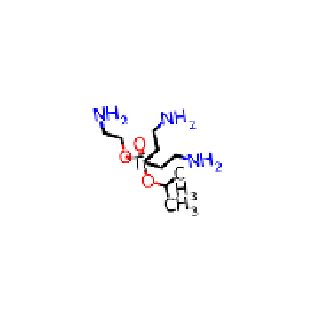 CC(C)[O][Ti](=[O])([CH2]CN)([CH2]CN)[O]CCN